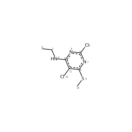 CCNc1nc(Cl)nc(SC)c1Cl